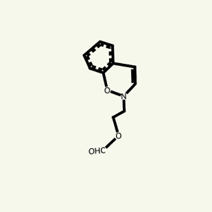 O=COCCN1C=Cc2ccccc2O1